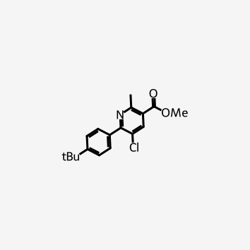 COC(=O)c1cc(Cl)c(-c2ccc(C(C)(C)C)cc2)nc1C